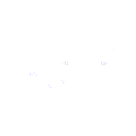 CCc1[nH]c2ncnc(Nc3ccc4[nH]c(=O)sc4c3)c2c1C